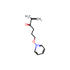 C=C(C)C(=O)CCCO[n+]1ccccc1